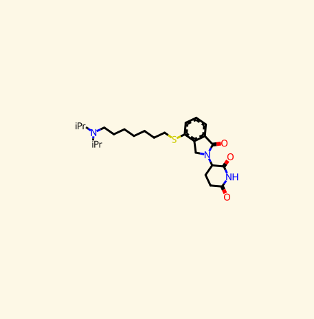 CC(C)N(CCCCCCCSc1cccc2c1CN(C1CCC(=O)NC1=O)C2=O)C(C)C